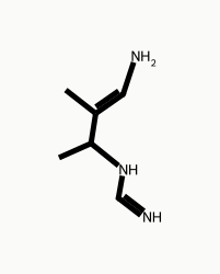 C/C(=C\N)C(C)NC=N